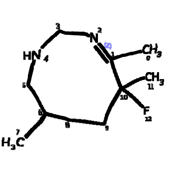 C/C1=N/CNCC(C)CCC1(C)F